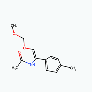 COCOC=C(NC(C)=O)c1ccc(C)cc1